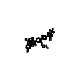 CCCC1CC(NC(=O)C(C)(C)Oc2ccc(F)cc2Cl)CCN1c1ccc(-c2nc(C(F)(F)F)n[nH]2)cn1